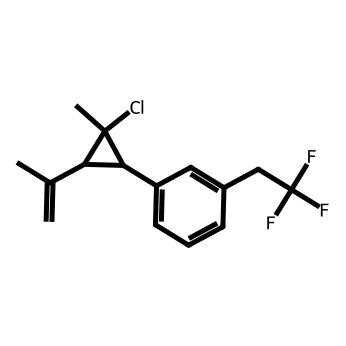 C=C(C)C1C(c2cccc(CC(F)(F)F)c2)C1(C)Cl